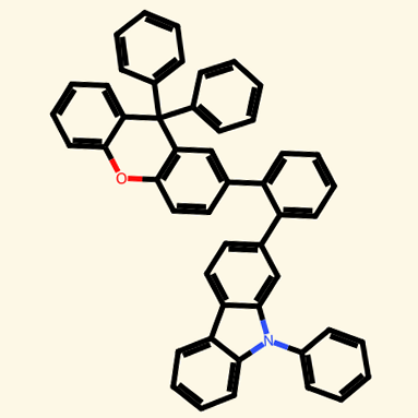 c1ccc(-n2c3ccccc3c3ccc(-c4ccccc4-c4ccc5c(c4)C(c4ccccc4)(c4ccccc4)c4ccccc4O5)cc32)cc1